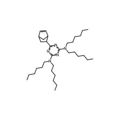 CCCCCCN(CCCCCC)c1nc(C2CC3C=CC2C3)nc(N(CCCCCC)CCCCCC)n1